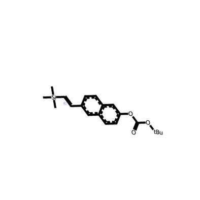 CC(C)(C)OC(=O)Oc1ccc2cc(/C=C/[Si](C)(C)C)ccc2c1